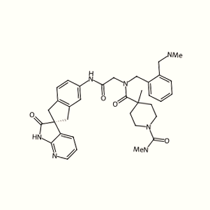 CNCc1ccccc1CN(CC(=O)Nc1ccc2c(c1)C[C@@]1(C2)C(=O)Nc2ncccc21)C(=O)C1(C)CCN(C(=O)NC)CC1